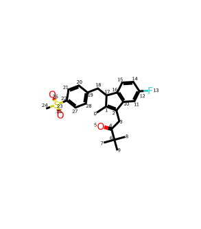 CC1=C(CC(=O)C(C)(C)C)c2cc(F)ccc2C1Cc1ccc(S(C)(=O)=O)cc1